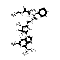 CCOC(=O)[C@@H](C)N[P@](=O)(OC[C@H]1O[C@@H](n2cnc3c(N(C)C)nc(N)nc32)[C@](C)(F)[C@@H]1O)Oc1ccccc1